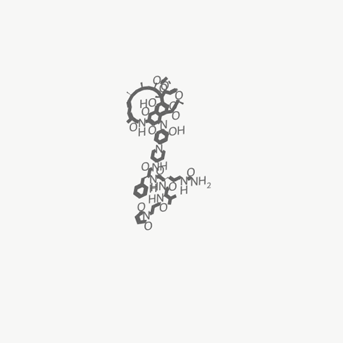 CO[C@H]1/C=C/O[C@@]2(C)Oc3c4c(O)c5c(=O)c(c6oc7cc(N8CCC(NC(=O)[C@H](Cc9ccccc9)NC(=O)[C@H](CCCNC(N)=O)NC(=O)[C@@H](NC(=O)CCN9C(=O)C=CC9=O)C(C)C)CC8)cc(O)c7nc-6c5c3C2=O)NC(=O)/C(C)=C\C=C\[C@H](C)C[C@@H](C)C[C@@H](C)[C@H](OC(C)=O)[C@@]41C